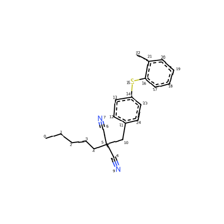 CCCCCC(C#N)(C#N)Cc1ccc(Sc2ccccc2C)cc1